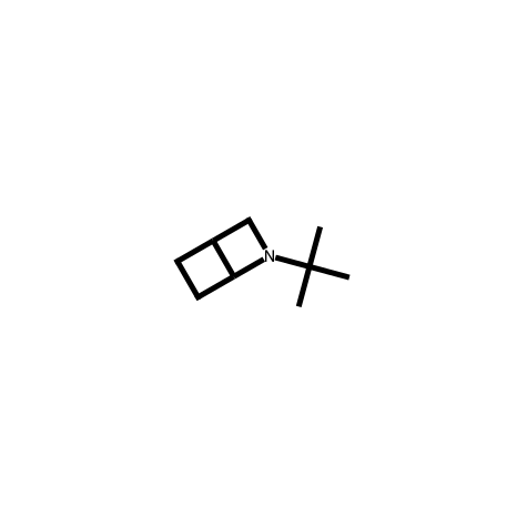 CC(C)(C)N1CC2CCC21